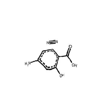 N#N.Nc1ccc(C(=O)O)c(O)c1